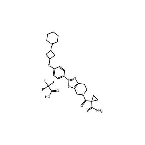 NC(=O)C1(C(=O)N2CCc3nc(-c4ccc(OC5CC(N6CCCCC6)C5)cc4)sc3C2)CC1.O=C(O)C(F)(F)F